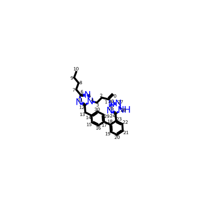 C=CCCn1nc(CCCC)nc1Cc1ccc(-c2ccccc2-c2nnn[nH]2)cc1